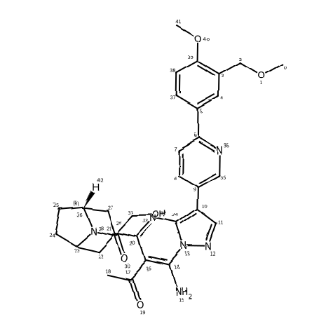 COCc1cc(-c2ccc(-c3cnn4c(N)c(C(C)=O)c(C5CC6CC[C@H](C5)N6C(=O)CO)nc34)cn2)ccc1OC